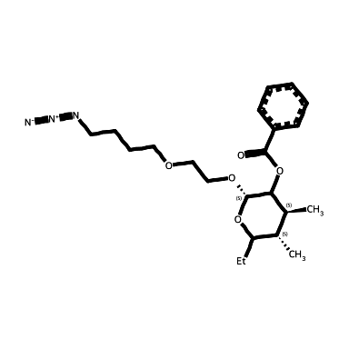 CCC1O[C@H](OCCOCCCCN=[N+]=[N-])C(OC(=O)c2ccccc2)[C@@H](C)[C@@H]1C